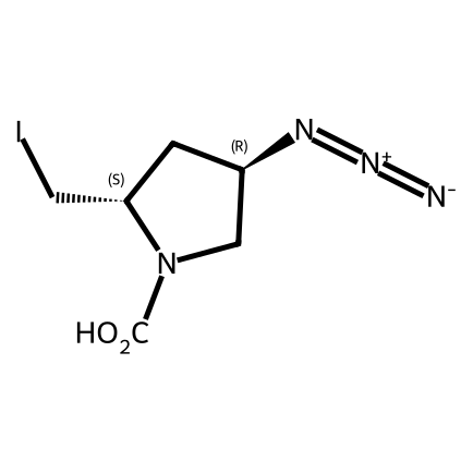 [N-]=[N+]=N[C@@H]1C[C@@H](CI)N(C(=O)O)C1